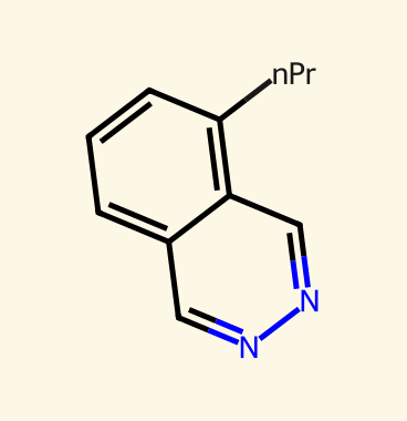 CCCc1cccc2cnncc12